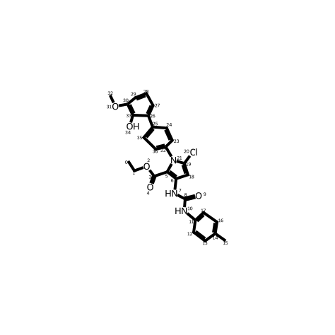 CCOC(=O)c1c(NC(=O)Nc2ccc(C)cc2)cc(Cl)n1-c1ccc(-c2cccc(OC)c2O)cc1